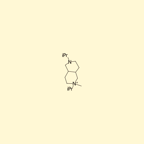 CC(C)N1CCC2C[N+](C)(C(C)C)CCC2C1